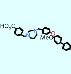 COC1(Oc2ccc(CN3CCCN(Cc4ccc(C(=O)O)cc4)CC3)cc2)C=CC(c2ccccc2)C=C1